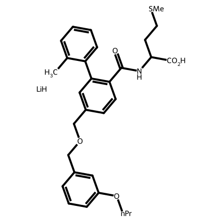 CCCOc1cccc(COCc2ccc(C(=O)NC(CCSC)C(=O)O)c(-c3ccccc3C)c2)c1.[LiH]